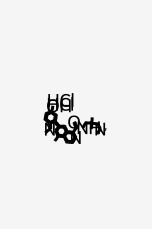 Cc1c2ccnc(C(=O)NCC(C)(C)CN(C)C)c2cc2c3cc(O)ccc3n(C)c12.Cl.Cl